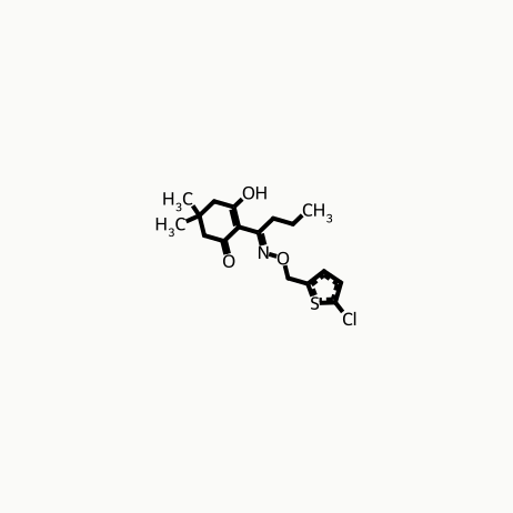 CCC/C(=N\OCc1ccc(Cl)s1)C1=C(O)CC(C)(C)CC1=O